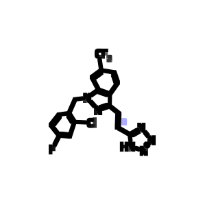 Fc1ccc(Cn2nc(/C=C/c3nnn[nH]3)c3ccc(C(F)(F)F)cc32)c(Cl)c1